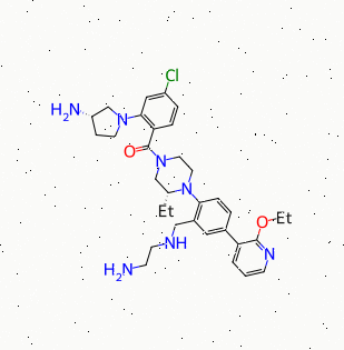 CCOc1ncccc1-c1ccc(N2CCN(C(=O)c3ccc(Cl)cc3N3CC[C@H](N)C3)C[C@H]2CC)c(CNCCN)c1